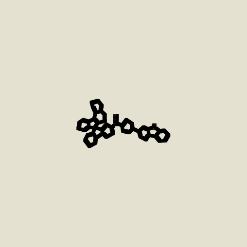 c1ccc2c(c1)-c1ccc(Nc3ccc(-c4ccc5c(c4)sc4ccccc45)cc3)cc1C21c2ccccc2-c2c1ccc1ccccc21